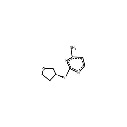 Nc1ccnc(O[C@H]2CCOC2)n1